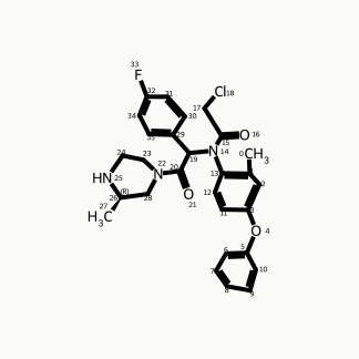 Cc1cc(Oc2ccccc2)ccc1N(C(=O)CCl)C(C(=O)N1CCN[C@H](C)C1)c1ccc(F)cc1